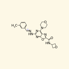 Cc1cccc(/C=N/Nc2nc(N3CCOCC3)c3nc(C(=O)NC4COC4)oc3n2)c1